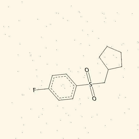 O=S(=O)(CC1CCCC1)c1ccc(F)cc1